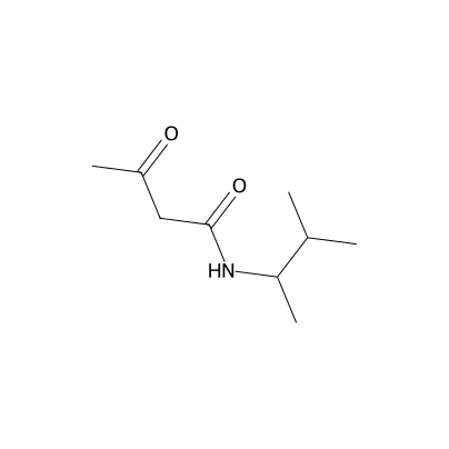 CC(=O)CC(=O)NC(C)C(C)C